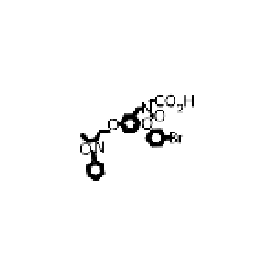 Cc1oc(-c2ccccc2)nc1CCOc1cccc(CN(CC(=O)O)C(=O)Oc2cccc(Br)c2)c1